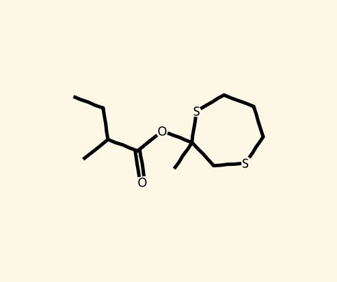 CCC(C)C(=O)OC1(C)CSCCCS1